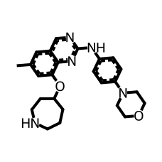 Cc1cc(OC2CCCNCC2)c2nc(Nc3ccc(N4CCOCC4)cc3)ncc2c1